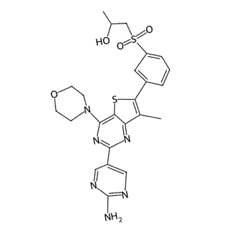 Cc1c(-c2cccc(S(=O)(=O)CC(C)O)c2)sc2c(N3CCOCC3)nc(-c3cnc(N)nc3)nc12